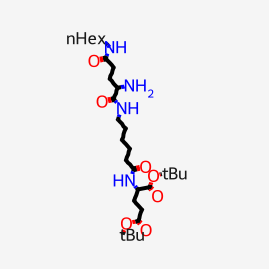 CCCCCCNC(=O)CCC(N)C(=O)NCCCCCC(=O)NC(CCC(=O)OC(C)(C)C)C(=O)OC(C)(C)C